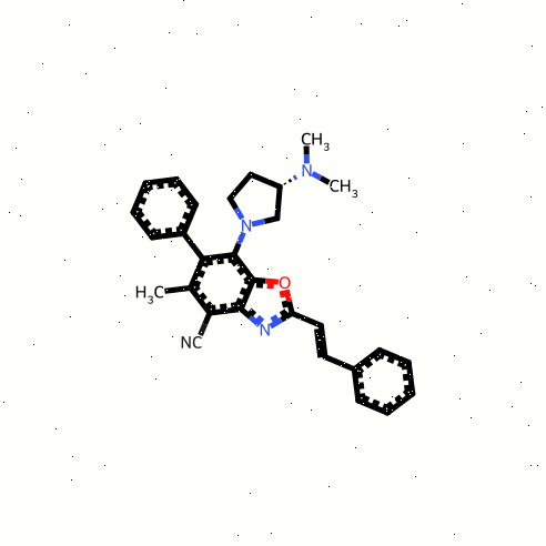 Cc1c(-c2ccccc2)c(N2CC[C@H](N(C)C)C2)c2oc(C=Cc3ccccc3)nc2c1C#N